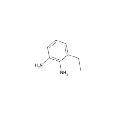 Nc1cccc(CI)c1N